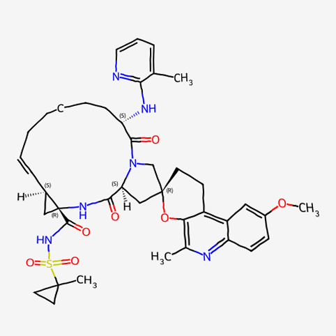 COc1ccc2nc(C)c3c(c2c1)CC[C@]1(C[C@H]2C(=O)N[C@]4(C(=O)NS(=O)(=O)C5(C)CC5)C[C@H]4C=CCCCCC[C@H](Nc4ncccc4C)C(=O)N2C1)O3